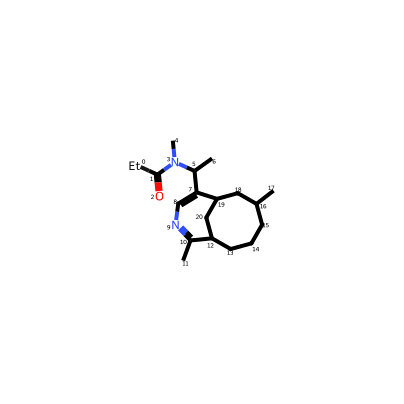 CCC(=O)N(C)C(C)C1=CN=C(C)C2CCCC(C)CC1C2